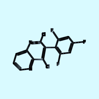 Fc1cc(F)c(-c2c(Cl)nc3cccnc3c2Cl)c(F)c1